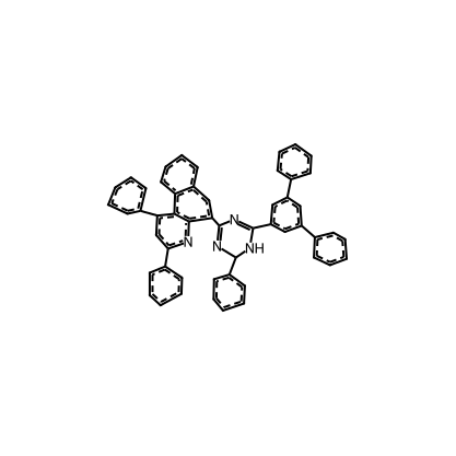 c1ccc(-c2cc(C3=NC(c4cc5ccccc5c5c(-c6ccccc6)cc(-c6ccccc6)nc45)=NC(c4ccccc4)N3)cc(-c3ccccc3)c2)cc1